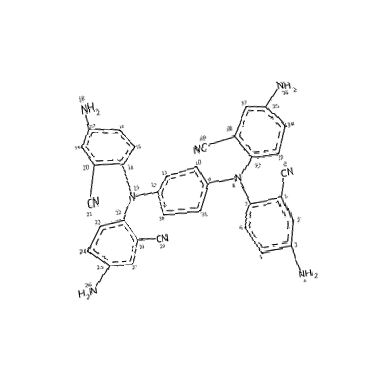 N#Cc1cc(N)ccc1N(c1ccc(N(c2ccc(N)cc2C#N)c2ccc(N)cc2C#N)cc1)c1ccc(N)cc1C#N